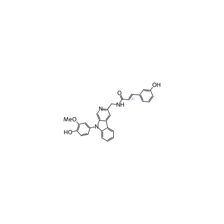 COc1cc(-n2c3ccccc3c3cc(CNC(=O)/C=C/c4cccc(O)c4)ncc32)ccc1O